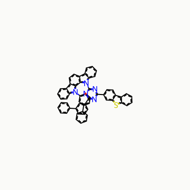 c1ccc(-c2cccc(-c3nc(-c4ccc5c(c4)sc4ccccc45)nc(-n4c5ccccc5c5ccc6c7ccccc7n(-c7cccc(-c8ccccc8)c7)c6c54)n3)c2)cc1